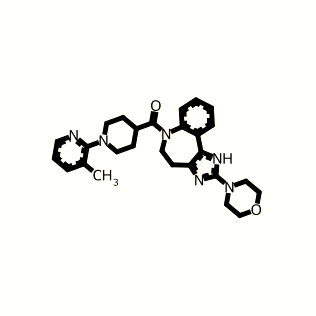 Cc1cccnc1N1CCC(C(=O)N2CCc3nc(N4CCOCC4)[nH]c3-c3ccccc32)CC1